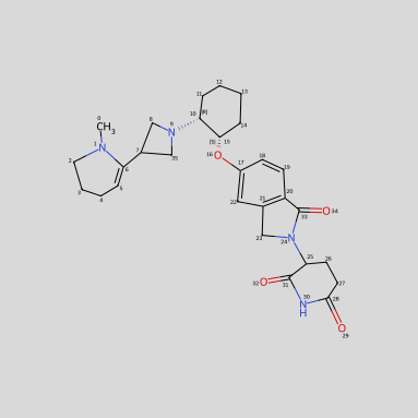 CN1CCCC=C1C1CN([C@@H]2CCCC[C@@H]2Oc2ccc3c(c2)CN(C2CCC(=O)NC2=O)C3=O)C1